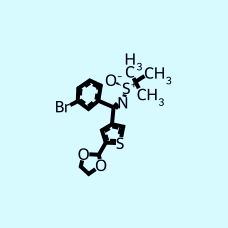 CC(C)(C)[S@@+]([O-])/N=C(\c1cccc(Br)c1)c1csc(C2OCCO2)c1